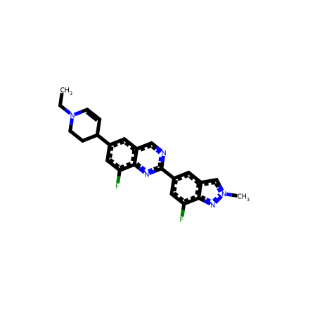 CCN1C=CC(c2cc(F)c3nc(-c4cc(F)c5nn(C)cc5c4)ncc3c2)CC1